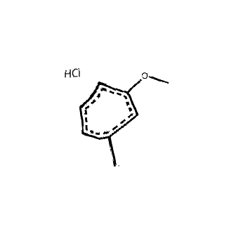 Cl.[CH2]c1cccc(OC)c1